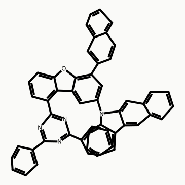 c1ccc(-c2nc(-c3ccccc3)nc(-c3cccc4oc5c(-c6ccc7ccccc7c6)cc(-n6c7ccccc7c7cc8ccccc8cc76)cc5c34)n2)cc1